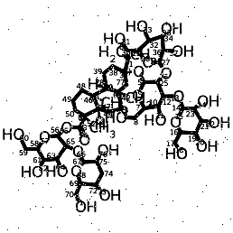 C=C(C)[C@]1(OC2OC(CO)C(O)C(OC3OC(CO)C(O)C(O)C3O)C2OC2OC(CO)C(O)C(O)C2O)CC[C@@H]2[C@@](C)(CC[C@H]3[C@@]2(C)CCC[C@@]3(C)C(=O)OC2OC(CO)C(O)C(O)C2OC2OC(CO)C(O)CC2O)C1